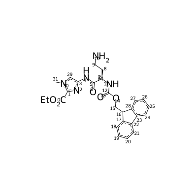 CCOC(=O)c1nc(NC(=O)[C@@H](CCN)NC(=O)OCC2c3ccccc3-c3ccccc32)cn1C